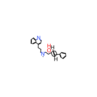 CN(CCCc1ccnc2ccccc12)CC[C@]1(O)C[C@H]2CC[C@@H]1C=C2c1ccccc1